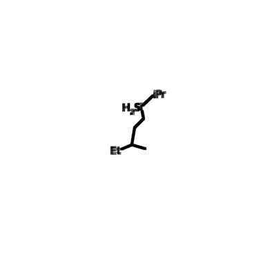 CCC(C)CC[SiH2]C(C)C